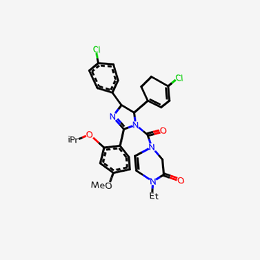 CCN1C=CN(C(=O)N2C(c3ccc(OC)cc3OC(C)C)=NC(c3ccc(Cl)cc3)C2C2=CC=C(Cl)CC2)CC1=O